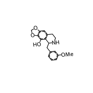 COc1cccc(CC2NCCc3cc4c(c(O)c32)OCO4)c1